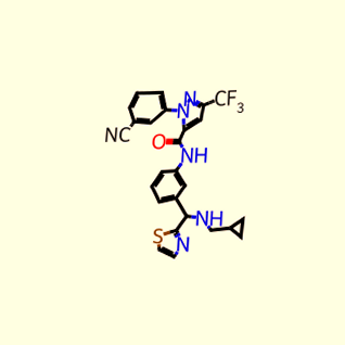 N#Cc1cccc(-n2nc(C(F)(F)F)cc2C(=O)Nc2cccc(C(NCC3CC3)c3nccs3)c2)c1